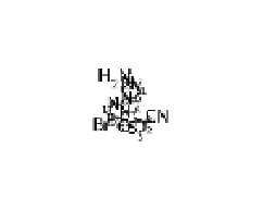 N#Cc1ccsc1Cn1c(N2CC=CN(N)C2)ncc(Br)c1=O